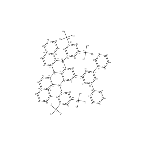 CC(C)(C)c1cc(N2c3cc(-c4nc(-c5ccccc5)cc(-c5ccccc5)n4)cc4c3B(c3ccc5ccccc5c32)c2ccc3ccccc3c2N4c2cc(C(C)(C)C)cc(C(C)(C)C)c2)cc(C(C)(C)C)c1